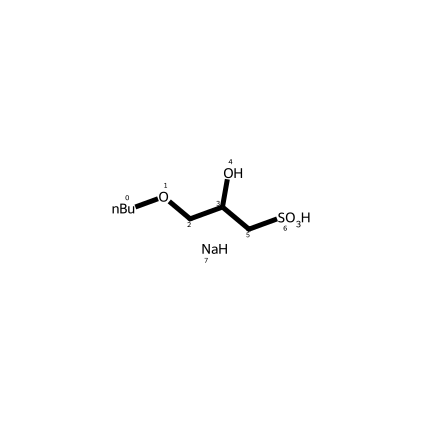 CCCCOCC(O)CS(=O)(=O)O.[NaH]